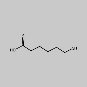 OC(=S)CCCCCS